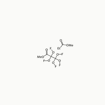 CCC(=O)OC.COC(=O)C(OF)(OF)C(OF)(OF)OF